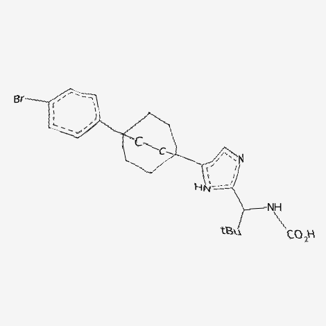 CC(C)(C)C(NC(=O)O)c1ncc(C23CCC(c4ccc(Br)cc4)(CC2)CC3)[nH]1